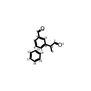 CC(C=O)c1cccc(C=O)c1.c1ccccc1